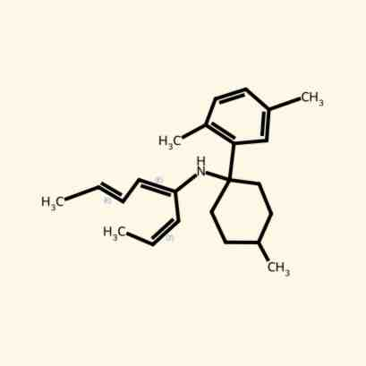 C\C=C/C(=C\C=C\C)NC1(c2cc(C)ccc2C)CCC(C)CC1